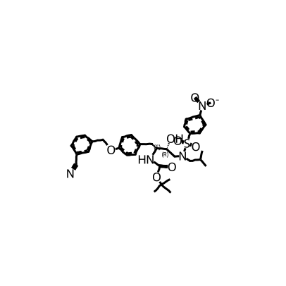 CC(C)CN(C[C@@H](O)[C@H](Cc1ccc(OCc2cccc(C#N)c2)cc1)NC(=O)OC(C)(C)C)S(=O)(=O)c1ccc([N+](=O)[O-])cc1